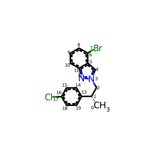 C[C@@H](Cn1cc2c(Br)cccc2n1)c1ccc(Cl)cc1